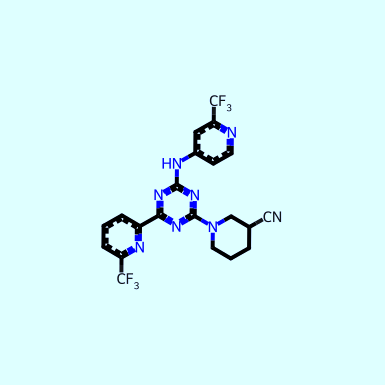 N#CC1CCCN(c2nc(Nc3ccnc(C(F)(F)F)c3)nc(-c3cccc(C(F)(F)F)n3)n2)C1